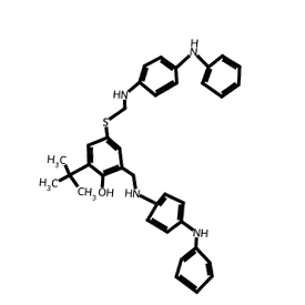 CC(C)(C)c1cc(SCNc2ccc(Nc3ccccc3)cc2)cc(CNc2ccc(Nc3ccccc3)cc2)c1O